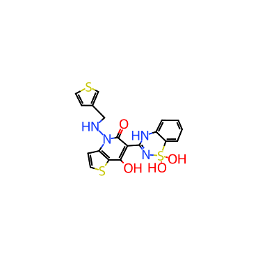 O=c1c(C2=NS(O)(O)c3ccccc3N2)c(O)c2sccc2n1NCc1ccsc1